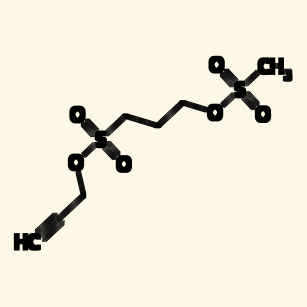 C#CCOS(=O)(=O)CCCOS(C)(=O)=O